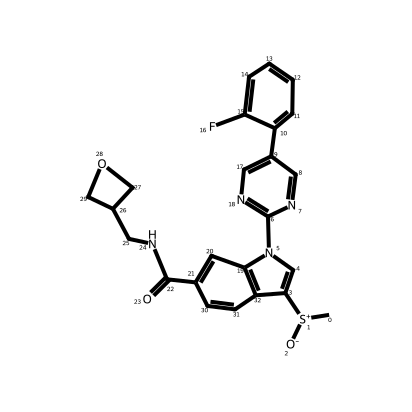 C[S+]([O-])c1cn(-c2ncc(-c3ccccc3F)cn2)c2cc(C(=O)NCC3COC3)ccc12